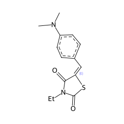 CCN1C(=O)S/C(=C/c2ccc(N(C)C)cc2)C1=O